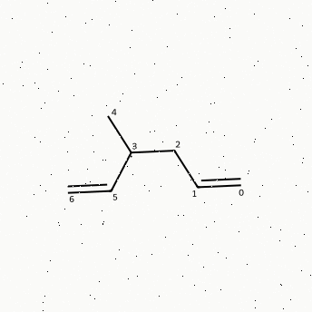 C=CC[C](C)C=C